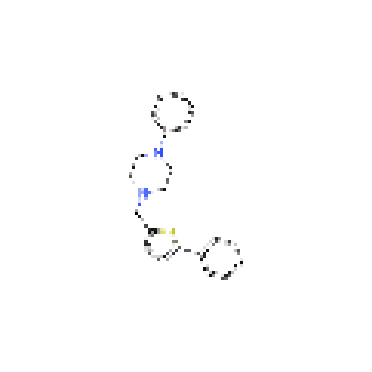 c1ccc(-c2ccc(CN3CCN(c4ccccc4)CC3)s2)cc1